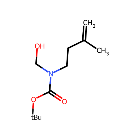 C=C(C)CCN(CO)C(=O)OC(C)(C)C